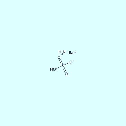 N.O=S(=O)([O-])O.[Ba+]